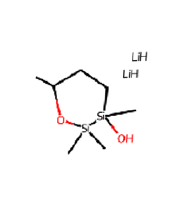 CC1CC[Si](C)(O)[Si](C)(C)O1.[LiH].[LiH]